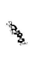 CC(=O)OC1CCN(c2ccc3c(c2)C(=O)N(C2CCC(=O)NC2=O)C3)CC1